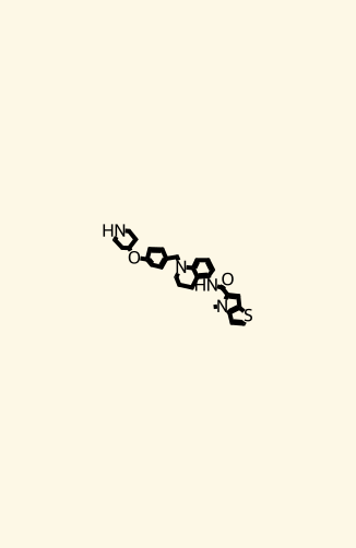 Cn1c(C(=O)Nc2cccc3c2CCCN3Cc2ccc(OC3CCNCC3)cc2)cc2sccc21